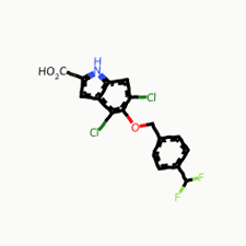 O=C(O)c1cc2c(Cl)c(OCc3ccc(C(F)F)cc3)c(Cl)cc2[nH]1